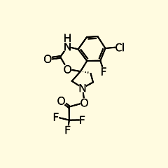 O=C1Nc2ccc(Cl)c(F)c2[C@]2(CCN(OC(=O)C(F)(F)F)C2)O1